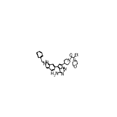 CCC(C(=O)N1CCC(c2cc(-c3ccc4cn(Cc5ccccc5)nc4c3)c3c(N)ncnn23)CC1)N1CCOCC1